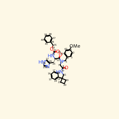 COc1ccc(CN(CC(=O)NCC2(c3ccccc3)CCC2)C(=O)[C@H](Cc2c[nH]cn2)NC(=O)OCc2ccccc2)cc1